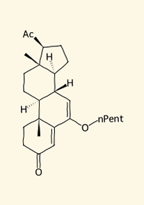 CCCCCOC1=C[C@H]2[C@@H]3CC[C@H](C(C)=O)[C@@]3(C)CC[C@@H]2[C@@]2(C)CCC(=O)C=C12